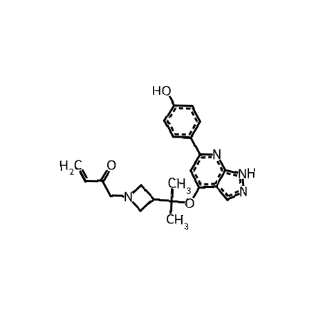 C=CC(=O)CN1CC(C(C)(C)Oc2cc(-c3ccc(O)cc3)nc3[nH]ncc23)C1